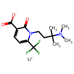 CN(C)C(C)(C)CCn1c(C(F)(F)F)ccc(C(=O)[O-])c1=O.[Li+]